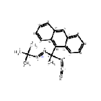 CC(C)(C)/N=N/C(C)(N=C=O)c1c2ccccc2cc2ccccc12